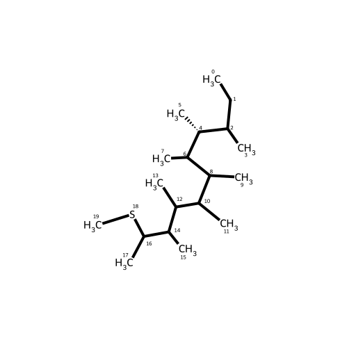 CCC(C)[C@@H](C)C(C)C(C)C(C)C(C)C(C)C(C)SC